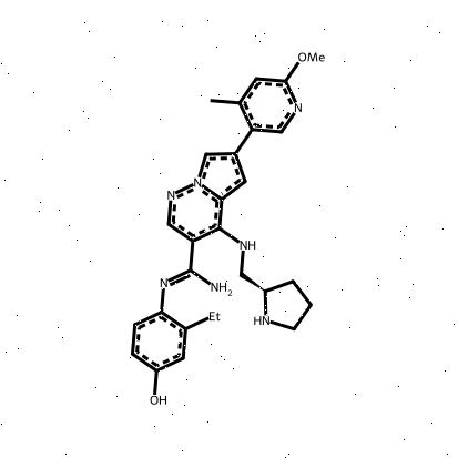 CCc1cc(O)ccc1/N=C(\N)c1cnn2cc(-c3cnc(OC)cc3C)cc2c1NC[C@H]1CCCN1